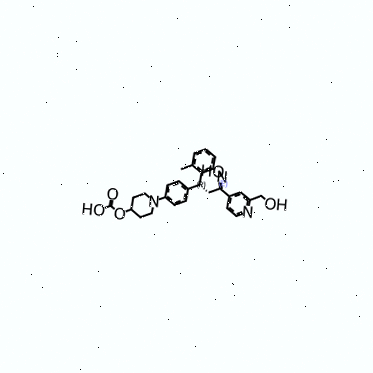 Cc1ccccc1[C@H](C/C(=N\O)c1ccnc(CO)c1)c1ccc(N2CCC(OC(=O)O)CC2)cc1